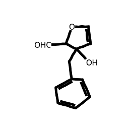 O=CC1OC=CC1(O)Cc1ccccc1